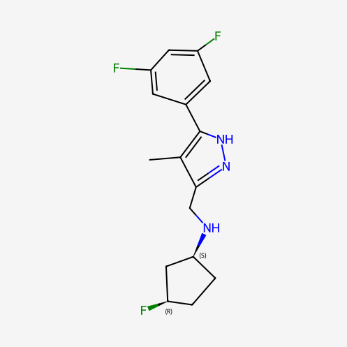 Cc1c(CN[C@H]2CC[C@@H](F)C2)n[nH]c1-c1cc(F)cc(F)c1